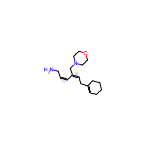 NC/C=C\C(=C/CC1=CCCCC1)CN1CCOCC1